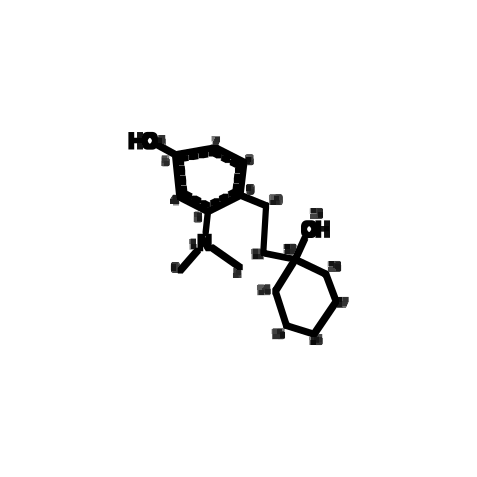 CN(C)c1cc(O)ccc1CCC1(O)CCCCC1